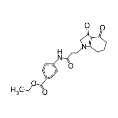 CCOC(=O)c1ccc(NC(=O)CCN2CC(=O)C3=C2CCCC3=O)cc1